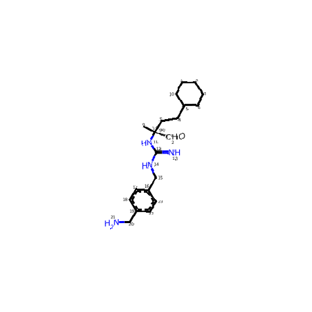 C[C@](C=O)(CCC1CCCCC1)NC(=N)NCc1ccc(CN)cc1